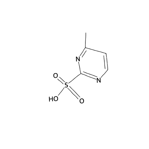 Cc1ccnc(S(=O)(=O)O)n1